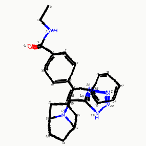 CCNC(=O)c1ccc(C(=C2CC3CCC(C2)N3Cc2nnn[nH]2)c2ccccc2)cc1